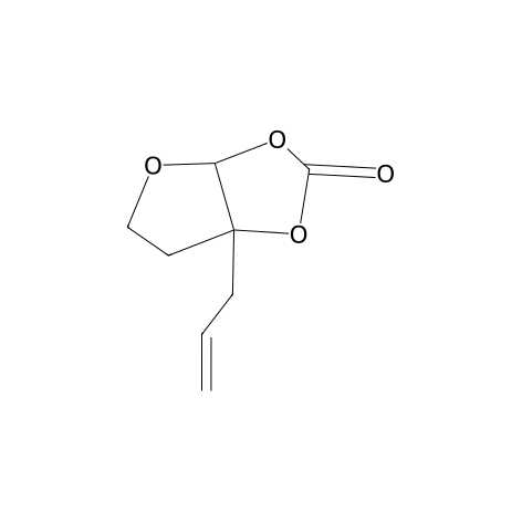 C=CCC12CCOC1OC(=O)O2